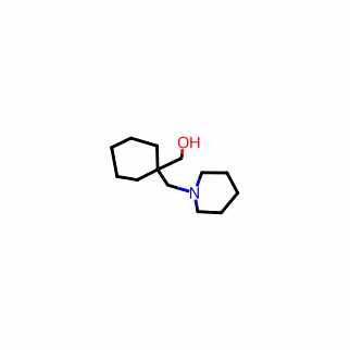 OCC1(CN2CCCCC2)CCCCC1